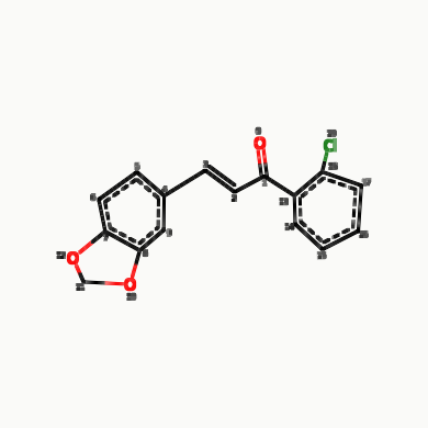 O=C(C=Cc1ccc2c(c1)OCO2)c1ccccc1Cl